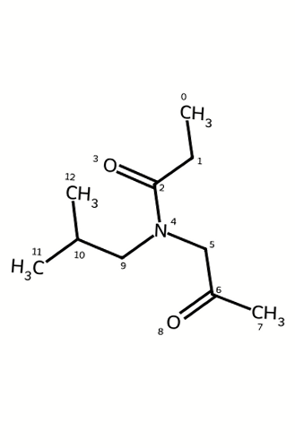 CCC(=O)N(CC(C)=O)CC(C)C